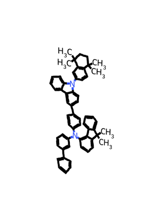 CC1(C)CCC(C)(C)c2cc(-n3c4ccccc4c4cc(-c5ccc(N(c6cccc(-c7ccccc7)c6)c6cccc7c6-c6ccccc6C7(C)C)cc5)ccc43)ccc21